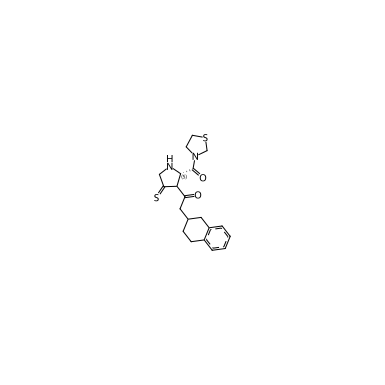 O=C(CC1CCc2ccccc2C1)C1C(=S)CN[C@@H]1C(=O)N1CCSC1